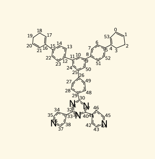 C1=CCCC(c2ccc(-c3cc(-c4ccc(C5=CCCC=C5)cc4)cc(-c4ccc(-c5nc(-c6ccncc6)nc(-c6ccncc6)n5)cc4)c3)cc2)=C1